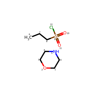 C1COCCN1.CCCS(=O)(=O)Cl